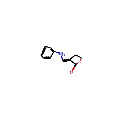 O=C1OCC/C1=C\Nc1ccccc1